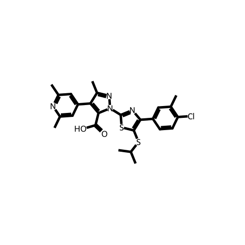 Cc1cc(-c2c(C)nn(-c3nc(-c4ccc(Cl)c(C)c4)c(SC(C)C)s3)c2C(=O)O)cc(C)n1